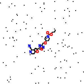 CCCOC(=O)N1CCC(OCc2noc(-c3cc4c(C#N)nccc4o3)n2)CC1